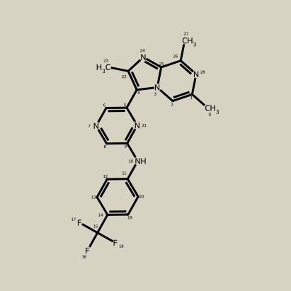 Cc1cn2c(-c3cncc(Nc4ccc(C(F)(F)F)cc4)n3)c(C)nc2c(C)n1